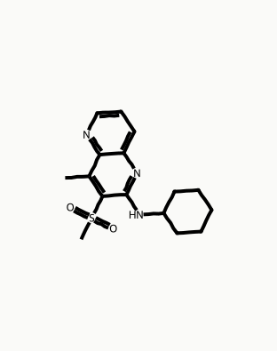 Cc1c(S(C)(=O)=O)c(NC2CCCCC2)nc2cccnc12